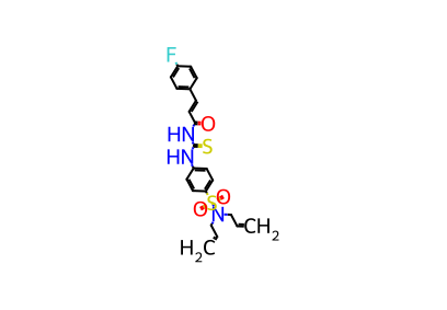 C=CCN(CC=C)S(=O)(=O)c1ccc(NC(=S)NC(=O)/C=C/c2ccc(F)cc2)cc1